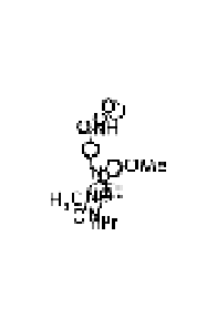 CCCN1CC(=O)N(Cc2c(CC)c3cc(OC)ccc3n2Cc2ccc(C(=O)NOC3CCCCO3)cc2)C(C)C1=O